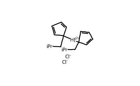 CC(C)C[C]1([Hf+2][C]2(CC(C)C)C=CC=C2)C=CC=C1.[Cl-].[Cl-]